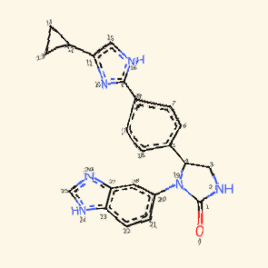 O=C1NCC(c2ccc(-c3nc(C4CC4)c[nH]3)cc2)N1c1ccc2[nH]cnc2c1